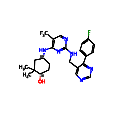 CC1(C)C[C@H](Nc2nc(NCc3cncnc3-c3ccc(F)cc3)ncc2C(F)(F)F)CC[C@@H]1O